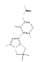 CC1(C)Cc2c(-c3c(F)cnc(OC(N)=O)c3C(C)(C)C)cc(C#N)n2C1